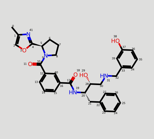 Cc1coc([C@H]2CCCN2C(=O)c2cccc(C(=O)N[C@@H](Cc3ccccc3)[C@H](O)CNCc3cccc(O)c3)c2)n1